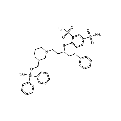 CC(C)(C)[Si](OC[C@@H]1CN(CC[C@H](CSc2ccccc2)Nc2ccc(S(N)(=O)=O)cc2S(=O)(=O)C(F)(F)F)CCO1)(c1ccccc1)c1ccccc1